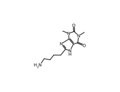 Cn1c(=O)c2[nH]c(CCCCN)nc2n(C)c1=O